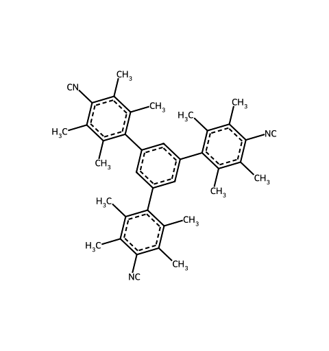 [C-]#[N+]c1c(C)c(C)c(-c2cc(-c3c(C)c(C)c([N+]#[C-])c(C)c3C)cc(-c3c(C)c(C)c([N+]#[C-])c(C)c3C)c2)c(C)c1C